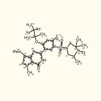 [2H]C([2H])(C)C(C)(C)Oc1cc(C)c(S(=O)(=O)N2CC(C)N(CC)C(C)(C)C2)cc1-c1nc2c(C(C)CCC)nn(C)c2c(=O)[nH]1